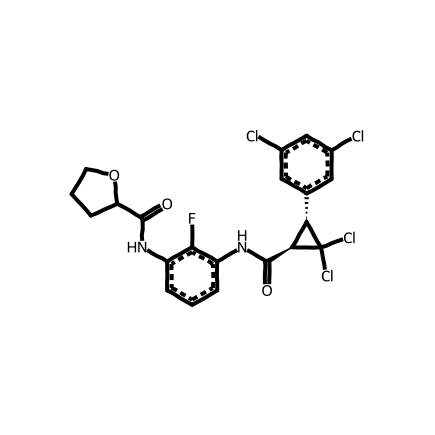 O=C(Nc1cccc(NC(=O)[C@H]2[C@H](c3cc(Cl)cc(Cl)c3)C2(Cl)Cl)c1F)C1CCCO1